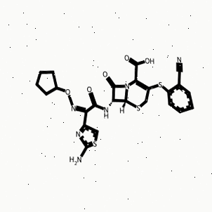 N#Cc1ccccc1SC1=C(C(=O)O)N2C(=O)[C@@H](NC(=O)/C(=N\OC3CCCC3)c3csc(N)n3)[C@H]2SC1